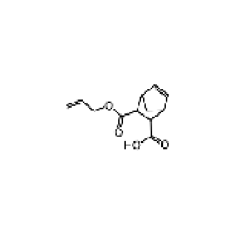 C=CCOC(=O)C1C2C=CC(C2)C1C(=O)O